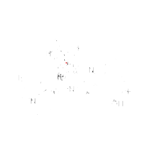 CC(C)(C)OC(=O)N1[C@@H]2CC[C@H]1CN(c1nc(OC[C@@]34CCCN3C[C@H](F)C4)nc3c(F)c(-c4cc(O)c(F)c5ccccc45)ncc13)C2